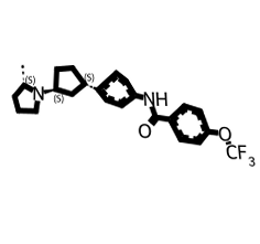 C[C@H]1CCCN1[C@H]1CC[C@H](c2ccc(NC(=O)c3ccc(OC(F)(F)F)cc3)cc2)C1